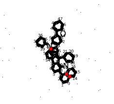 c1ccc(-c2ccc3c4c2N(c2ccccc2)c2ccccc2C4(c2ccccc2)c2cc(N(c4ccccc4)c4ccc5oc6ccccc6c5c4)ccc2-3)cc1